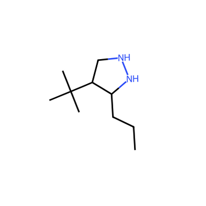 CCCC1NNCC1C(C)(C)C